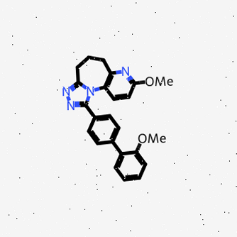 COc1ccc2c(n1)CCCc1nnc(-c3ccc(-c4ccccc4OC)cc3)n1-2